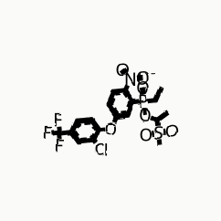 CCP(=O)(OC(C)S(C)(=O)=O)c1cc(Oc2ccc(C(F)(F)F)cc2Cl)ccc1[N+](=O)[O-]